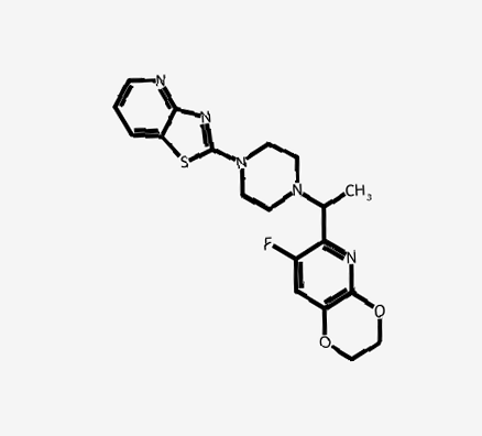 CC(c1nc2c(cc1F)OCCO2)N1CCN(c2nc3ncccc3s2)CC1